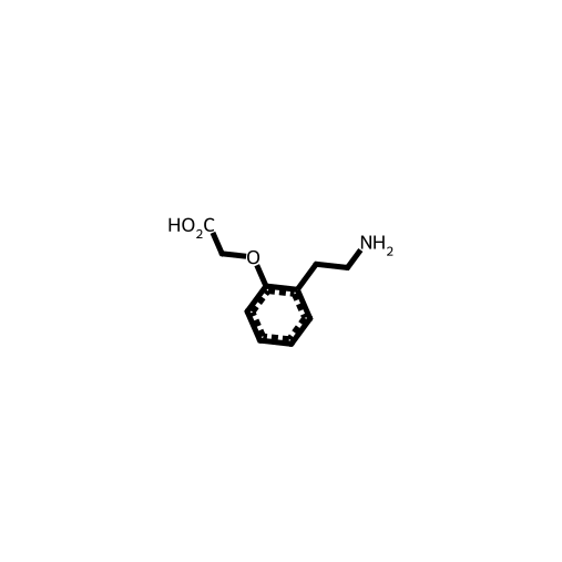 NCCc1ccccc1OCC(=O)O